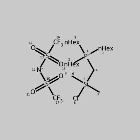 CCCCCC[P+](CCCCCC)(CCCCCC)C[Si](C)(C)Cl.O=S(=O)([N-]S(=O)(=O)C(F)(F)F)C(F)(F)F